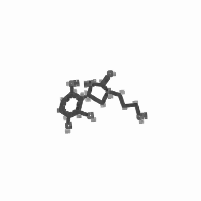 O=C1N[C@@H](c2c(O)ccc(Cl)c2Cl)CN1CCCO